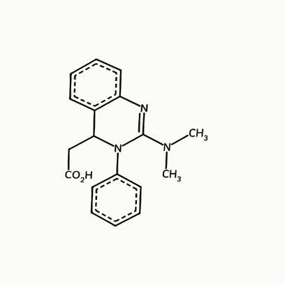 CN(C)C1=Nc2ccccc2C(CC(=O)O)N1c1ccccc1